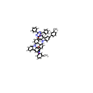 Cc1cccc(-c2ccc3c(c2)c2ccccc2n3-c2ccc(C#N)cc2-c2cc(-c3nc(-c4ccccc4)nc(-c4ccccc4)n3)ccc2-n2c3ccccc3c3cc(-c4cccc(C)c4)ccc32)c1